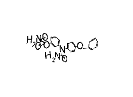 NC(=O)N(c1ccc(OCc2ccccc2)cc1)c1cccc(OS(N)(=O)=O)c1